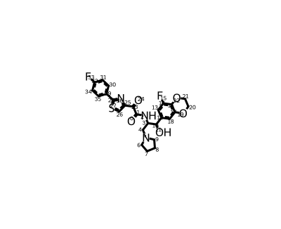 O=C(NC(CN1CCCC1)C(O)c1cc(F)c2c(c1)OCCO2)C(=O)c1csc(-c2ccc(F)cc2)n1